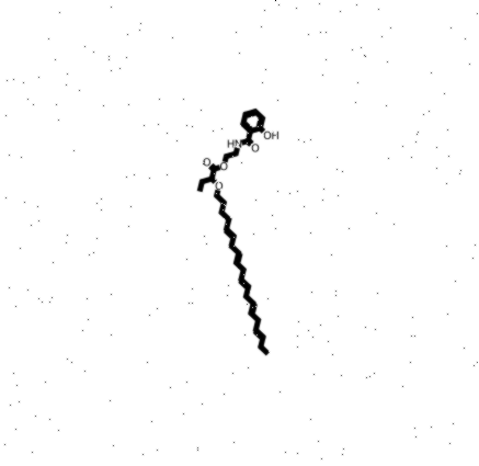 CCC=CCC=CCC=CCC=CCC=CCCCCOC(CC)C(=O)OCCNC(=O)c1ccccc1O